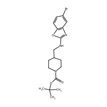 CC(C)(C)OC(=O)N1CCC(CNc2nc3cc(Br)ccc3o2)CC1